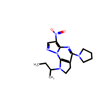 CCC(C)N1CCc2c(N3CCCC3)nc3c([N+](=O)[O-])cnn3c21